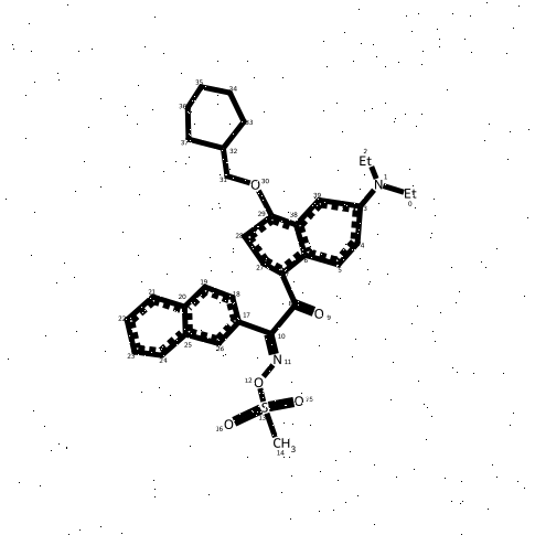 CCN(CC)c1ccc2c(C(=O)/C(=N/OS(C)(=O)=O)c3ccc4ccccc4c3)ccc(OCC3CCCCC3)c2c1